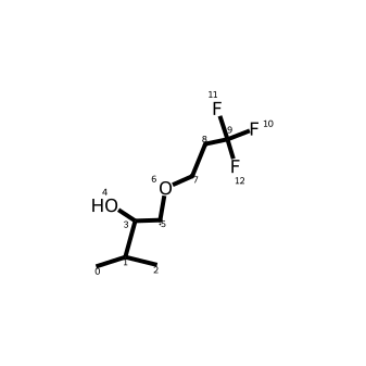 CC(C)C(O)[CH]OCCC(F)(F)F